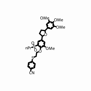 CCCS(=O)(=O)c1cc(C2CCC(c3cc(OC)c(OC)c(OC)c3)O2)cc(OC)c1OCCSc1ccc(C#N)cc1